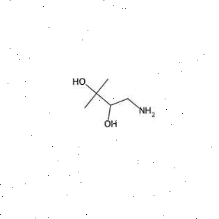 CC(C)(O)C(O)CN